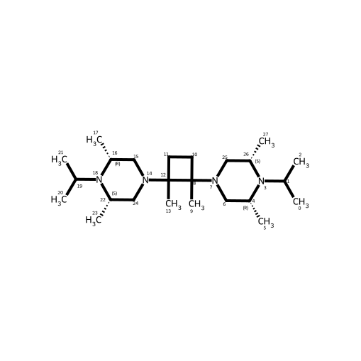 CC(C)N1[C@H](C)CN(C2(C)CCC2(C)N2C[C@@H](C)N(C(C)C)[C@@H](C)C2)C[C@@H]1C